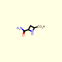 NC(=O)C1CC(C(=O)O)N1